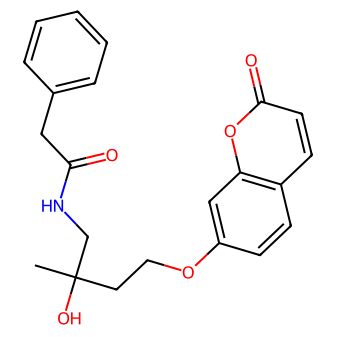 CC(O)(CCOc1ccc2ccc(=O)oc2c1)CNC(=O)Cc1ccccc1